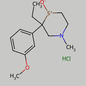 CCC1(c2cccc(OC)c2)CN(C)CC[S+]1[O-].Cl